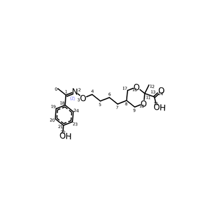 C/C(=N/OCCCCC1COC(C)(C(=O)O)OC1)c1ccc(O)cc1